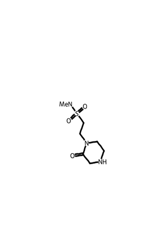 CNS(=O)(=O)CCN1CCNCC1=O